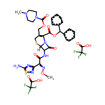 CON=C(C(=O)NC1C(=O)N2C(C(=O)OC(c3ccccc3)c3ccccc3)=C(COC(=O)N3CCN(C)CC3)CS[C@@H]12)c1nsc(N)n1.O=C(O)C(F)(F)F.O=C(O)C(F)(F)F